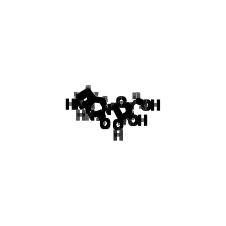 O=C1Nc2[nH]ccc2CN1[C@@H]1O[C@H](CO)[C@@H](O)[C@H]1O